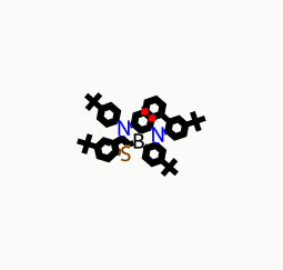 Cc1cc2c3c(c1)N(c1ccc(C(C)(C)C)cc1)c1c(sc4ccc(C(C)(C)C)cc14)B3c1ccc(C(C)(C)C)cc1N2c1ccc(C(C)(C)C)cc1-c1ccccc1